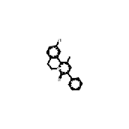 [CH2]c1cc(-c2ccccc2)c(=O)n2c1-c1cc(Cl)ccc1CC2